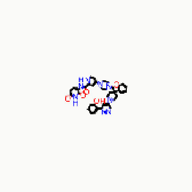 O=C1CC[C@@H](NC(=O)c2cc(N3CCN(C(=O)C4(c5ccccc5)CCN(c5cnnc(-c6ccccc6O)c5)CC4)CC3)ccn2)C(=O)N1